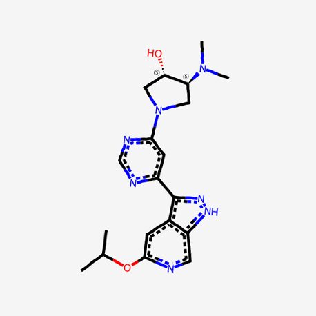 CC(C)Oc1cc2c(-c3cc(N4C[C@H](O)[C@@H](N(C)C)C4)ncn3)n[nH]c2cn1